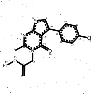 C=C(Cn1c(C)nc2scc(-c3ccc(Cl)cc3)c2c1=O)OCC